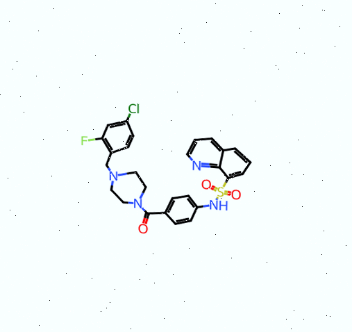 O=C(c1ccc(NS(=O)(=O)c2cccc3cccnc23)cc1)N1CCN(Cc2ccc(Cl)cc2F)CC1